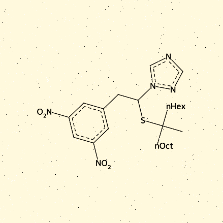 CCCCCCCCC(C)(CCCCCC)SC(Cc1cc([N+](=O)[O-])cc([N+](=O)[O-])c1)n1cncn1